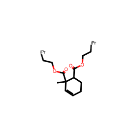 CC(C)CCOC(=O)C1CCC=CC1(C)C(=O)OCCC(C)C